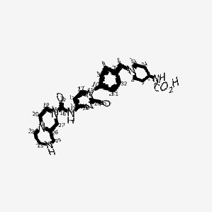 O=C(O)NC1CCN(Cc2ccc(-n3ccc(NC(=O)N4CCN5CCNCC5C4)nc3=O)cc2)CC1